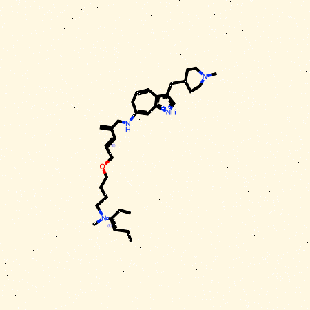 C=C(/C=C/COCCCCN(C)/C(=C/CC)CC)CNC1=Cc2[nH]cc(CC3CCN(C)CC3)c2C=CC1